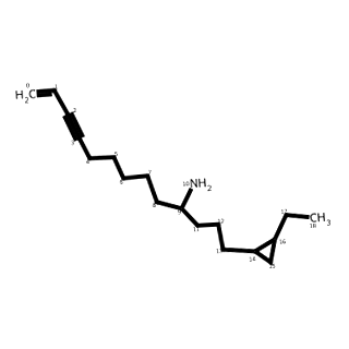 C=CC#CCCCCCC(N)CCCC1CC1CC